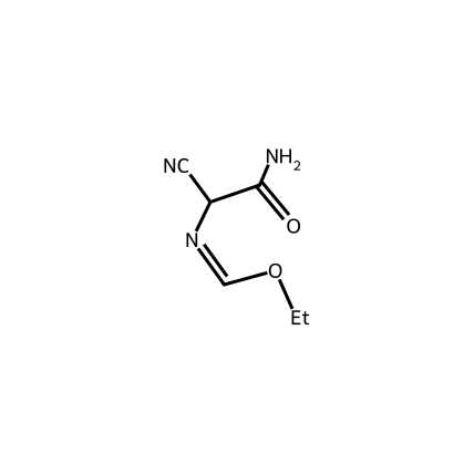 CCO/C=N\C(C#N)C(N)=O